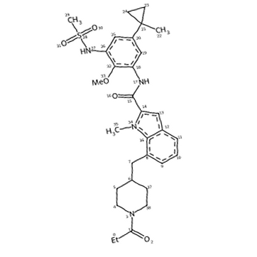 CCC(=O)N1CCC(Cc2cccc3cc(C(=O)Nc4cc(C5(C)CC5)cc(NS(C)(=O)=O)c4OC)n(C)c23)CC1